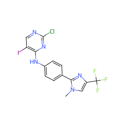 Cn1cc(C(F)(F)F)nc1-c1ccc(Nc2nc(Cl)ncc2I)cc1